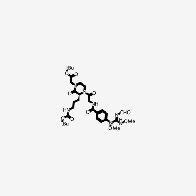 CONC(=NC=O)N(OC)c1ccc(C(=O)NCC(=O)N2CCN(CC(=O)OC(C)(C)C)C(=O)[C@@H]2CCCNC(=O)OC(C)(C)C)cc1